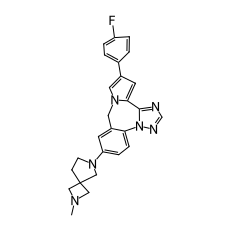 CN1CC2(CCN(c3ccc4c(c3)Cn3cc(-c5ccc(F)cc5)cc3-c3ncnn3-4)C2)C1